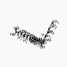 C=C.C=C.C=C.C=C.C=C.C=C.C=C.C=C.C=CC.C=CC.C=CC.C=CC.C=CC.C=CC.C=CC.COCCO.OCCO